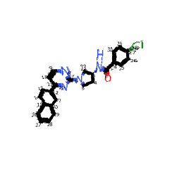 O=C(N[C@H]1CCN(c2nccc(-c3ccc4ccccc4c3)n2)C1)c1ccc(Cl)cc1